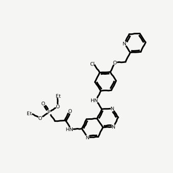 CCOP(=O)(CC(=O)Nc1cc2c(Nc3ccc(OCc4ccccn4)c(Cl)c3)ncnc2cn1)OCC